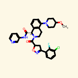 COC1CCN(c2cccc3c2CCN(C(=O)C2CC(c4cccc(Cl)c4F)=NO2)[C@@H]3C(=O)Nc2cccnc2)CC1